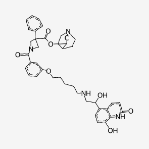 O=C(c1cccc(OCCCCCNCC(O)c2ccc(O)c3[nH]c(=O)ccc23)c1)N1CC(C(=O)OC2CN3CCC2CC3)(c2ccccc2)C1